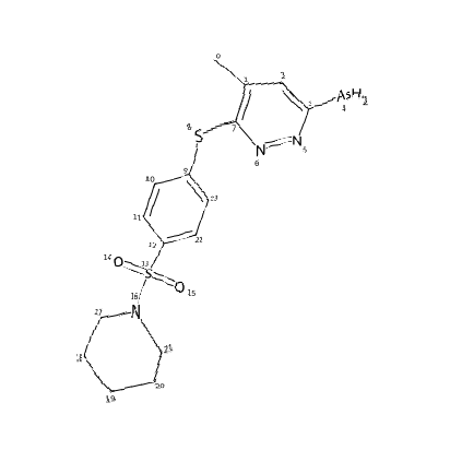 Cc1cc([AsH2])nnc1Sc1ccc(S(=O)(=O)N2CCCCC2)cc1